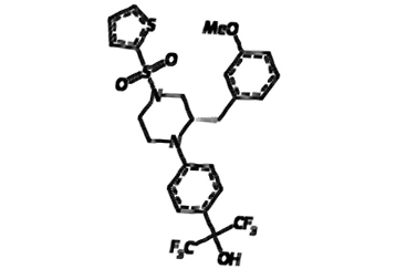 COc1cccc(C[C@H]2CN(S(=O)(=O)c3cccs3)CCN2c2ccc(C(O)(C(F)(F)F)C(F)(F)F)cc2)c1